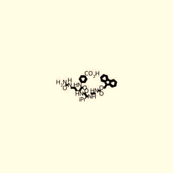 CC(C)[C@H](NCCNC(=O)OCC1c2ccccc2-c2ccccc21)C(=O)N[C@@H](CCCNC(N)=O)C(=O)Nc1ccc(C(=O)O)cc1